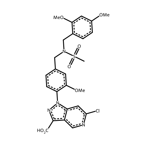 COc1ccc(CN(Cc2ccc(-n3nc(C(=O)O)c4cnc(Cl)cc43)c(OC)c2)S(C)(=O)=O)c(OC)c1